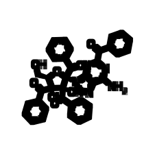 Nc1nc(C(=O)c2ccccc2)nc2c1ncn2[C@]1(C(=O)c2ccccc2)O[C@H](CO)[C@](O)(C(=O)c2ccccc2)[C@]1(O)C(=O)c1ccccc1